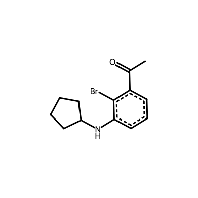 CC(=O)c1cccc(NC2CCCC2)c1Br